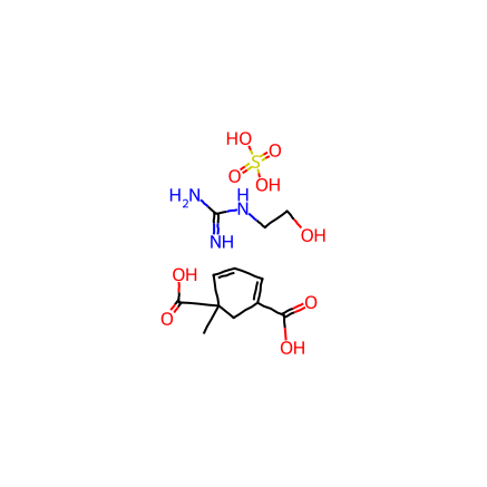 CC1(C(=O)O)C=CC=C(C(=O)O)C1.N=C(N)NCCO.O=S(=O)(O)O